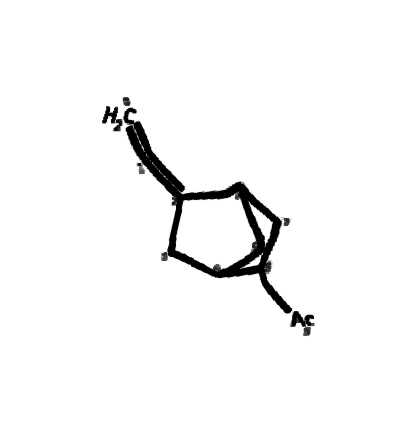 C=C=C1CC2CC1CC2C(C)=O